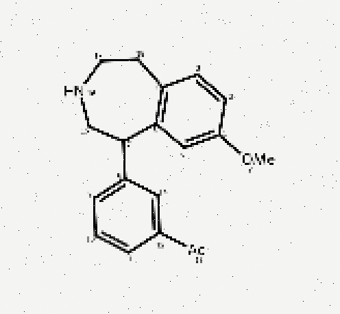 COc1ccc2c(c1)C(c1cccc(C(C)=O)c1)CNCC2